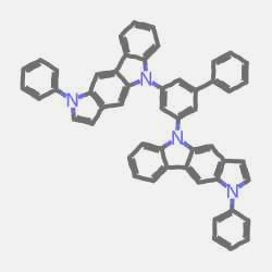 c1ccc(-c2cc(-n3c4ccccc4c4cc5c(ccn5-c5ccccc5)cc43)cc(-n3c4ccccc4c4cc5c(ccn5-c5ccccc5)cc43)c2)cc1